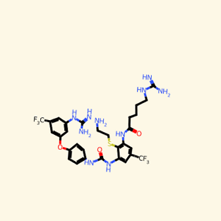 N=C(N)NCCCCC(=O)Nc1cc(C(F)(F)F)cc(NC(=O)Nc2ccc(Oc3cc(NC(=N)N)cc(C(F)(F)F)c3)cc2)c1SCCN